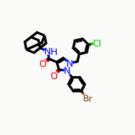 O=C(NC12CC3CC(CC(C3)C1)C2)c1cn(Cc2cccc(Cl)c2)n(-c2ccc(Br)cc2)c1=O